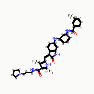 Cc1[nH]c(C=C2C(=O)Nc3cc(Nc4cccc(NC(=O)c5cccc(C(F)(F)F)c5)c4)ccc32)c(C)c1C(=O)NCCCN1CCCC1